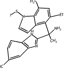 CCc1cc(C)c2c(ccn2SI)c1C(C)(N)c1nc2cc(C#N)ccc2[nH]1